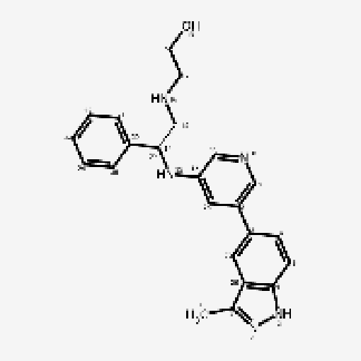 Cc1n[nH]c2ccc(-c3cncc(N[C@@H](CNCCO)c4ccccc4)c3)cc12